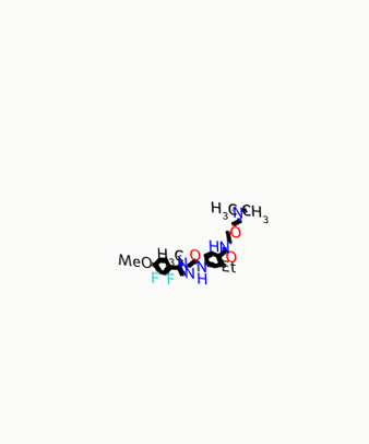 CCc1cc(NC(=O)c2ncc(-c3ccc(OC)c(F)c3F)n2C)ccc1C(=O)NCCOCCN(C)C